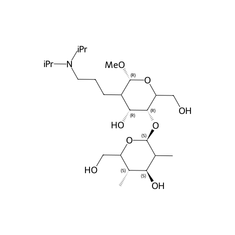 CO[C@@H]1OC(CO)[C@H](O[C@@H]2OC(CO)[C@@H](C)[C@H](O)C2C)[C@H](O)C1CCCN(C(C)C)C(C)C